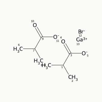 CC(C)C(=O)[O-].CC(C)C(=O)[O-].[Br-].[Ga+3]